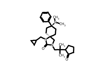 CN(C)[C@]1(c2ccccc2)CC[C@]2(CC1)CN(CC(C)(C)C1CCCC1=O)C(=O)N2CC1CC1